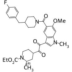 CCOC(=O)N1CCC(C(=O)C(=O)c2cn(C)c3cc(OC)c(C(=O)N4CCC(Cc5ccc(F)cc5)CC4)cc23)C[C@H]1C